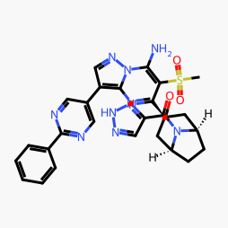 CS(=O)(=O)c1c([C@H]2C[C@H]3CC[C@@H](C2)N3C(=O)c2cn[nH]n2)nc2c(-c3cnc(-c4ccccc4)nc3)cnn2c1N